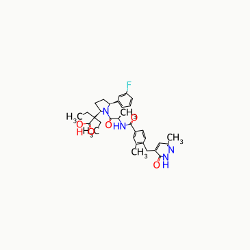 CCC(CC)(C(=O)O)[C@H]1CC[C@@H](c2cccc(F)c2)N1C(=O)[C@@H](C)NC(=O)c1ccc(Cc2cc(C)n[nH]c2=O)c(C)c1